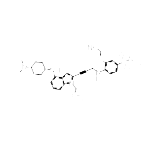 CN(C)[C@H]1CC[C@@H](Nc2cccc3c2cc(C#CCNc2ccc(S(N)(=O)=O)cc2OCC#N)n3CC(F)(F)F)CC1